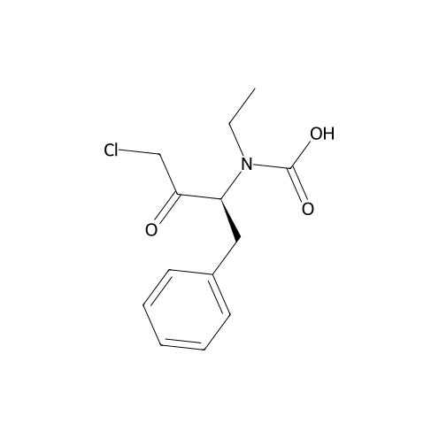 CCN(C(=O)O)[C@@H](Cc1ccccc1)C(=O)CCl